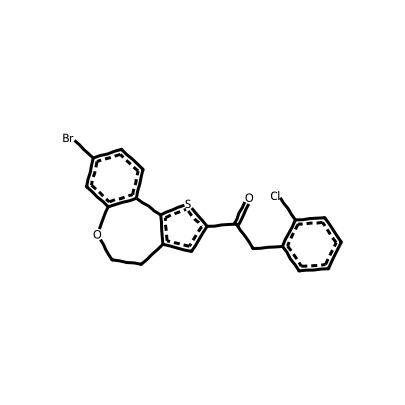 O=C(Cc1ccccc1Cl)c1cc2c(s1)-c1ccc(Br)cc1OCC2